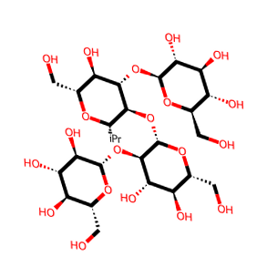 CC(C)[C@@H]1O[C@H](CO)[C@@H](O)[C@H](O[C@@H]2O[C@H](CO)[C@@H](O)[C@H](O)[C@H]2O)[C@H]1O[C@@H]1O[C@H](CO)[C@@H](O)[C@H](O)[C@H]1O[C@@H]1O[C@H](CO)[C@@H](O)[C@H](O)[C@H]1O